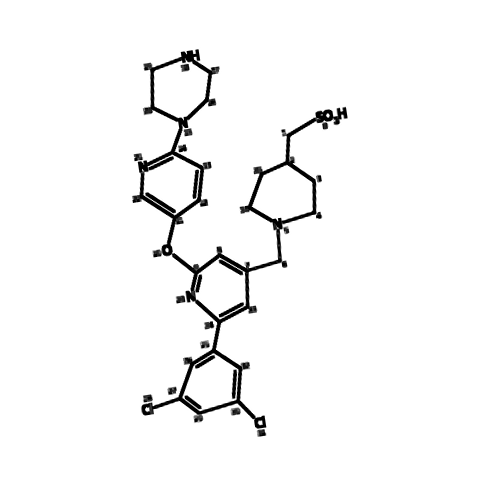 O=S(=O)(O)CC1CCN(Cc2cc(Oc3ccc(N4CCNCC4)nc3)nc(-c3cc(Cl)cc(Cl)c3)c2)CC1